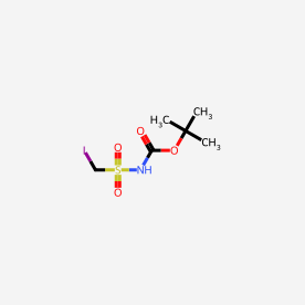 CC(C)(C)OC(=O)NS(=O)(=O)CI